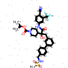 C=C(C)OC(=O)N1CCC(C(O)(Cc2cccc(-c3ccc(CNS(C)(=O)=O)cc3)c2)C(=O)Nc2ccc(C#N)c(C(F)(F)F)c2)CC1